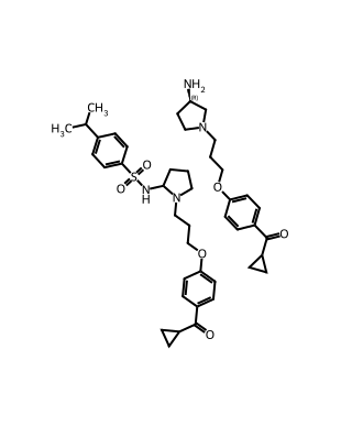 CC(C)c1ccc(S(=O)(=O)NC2CCCN2CCCOc2ccc(C(=O)C3CC3)cc2)cc1.N[C@@H]1CCN(CCCOc2ccc(C(=O)C3CC3)cc2)C1